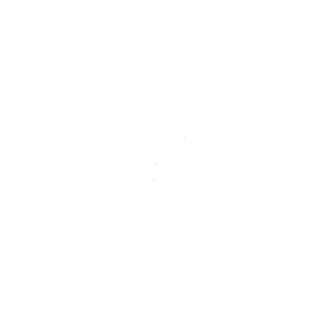 CCc1ccc(C(C)(C)CI)cc1